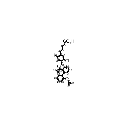 O=C(O)CCCCc1cc(Cl)c(COC2(c3cnccc3-c3ccccc3OC3CC3)CC2)cc1Cl